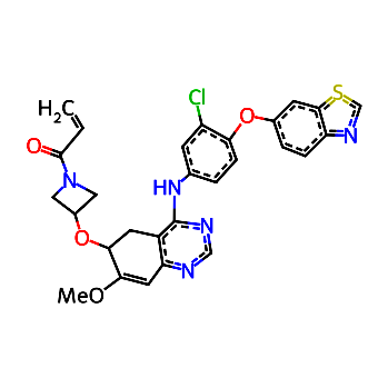 C=CC(=O)N1CC(OC2Cc3c(ncnc3Nc3ccc(Oc4ccc5ncsc5c4)c(Cl)c3)C=C2OC)C1